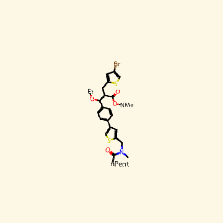 CCCCCC(=O)N(C)Cc1cc(-c2ccc(C(OCC)C(Cc3cc(Br)cs3)C(=O)ONC)cc2)cs1